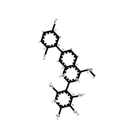 [2H]c1nc([2H])c(-c2nc(NC)c3ccc(-c4cc(F)ccc4F)cc3n2)c([2H])c1[2H]